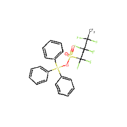 O=S(=O)(OS(c1ccccc1)(c1ccccc1)c1ccccc1)C(F)(F)C(F)(F)C(F)(F)C(F)(F)F